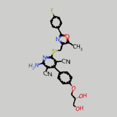 Cc1oc(-c2ccc(F)cc2)nc1CSc1nc(N)c(C#N)c(-c2ccc(OC[C@H](O)CO)cc2)c1C#N